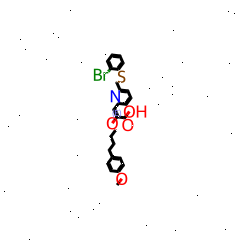 COc1ccc(CCCCO/C(=C/c2cccc(CSc3ccccc3Br)n2)C(=O)O)cc1